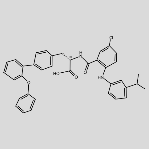 CC(C)c1cccc(Nc2ccc(Cl)cc2C(=O)N[C@@H](Cc2ccc(-c3ccccc3Oc3ccccc3)cc2)C(=O)O)c1